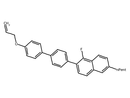 C=CCOc1ccc(-c2ccc(-c3ccc4cc(CCCCC)ccc4c3F)cc2)cc1